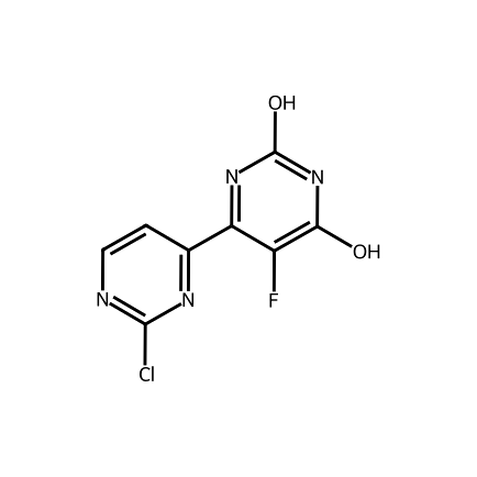 Oc1nc(O)c(F)c(-c2ccnc(Cl)n2)n1